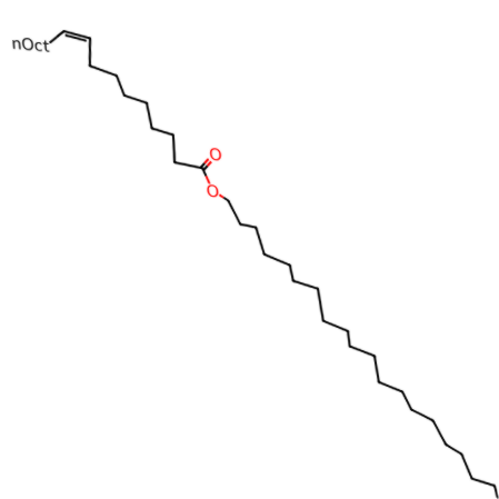 CCCCCCCC/C=C\CCCCCCCC(=O)OCCCCCCCCCCCCCCCCCCCC(=O)O